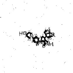 Cn1ccc2c(-c3ccc(Nc4ccc(N5CCC(O)CC5)cn4)c4c3CNC4=O)ccnc21